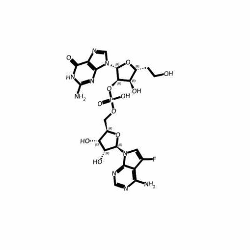 Nc1nc2c(ncn2[C@@H]2O[C@H](CCO)[C@@H](O)[C@H]2OP(=O)(O)OC[C@H]2O[C@@H](n3cc(F)c4c(N)ncnc43)[C@H](O)[C@@H]2O)c(=O)[nH]1